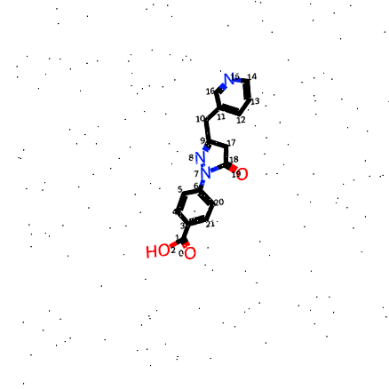 O=C(O)c1ccc(N2N=C(Cc3cccnc3)CC2=O)cc1